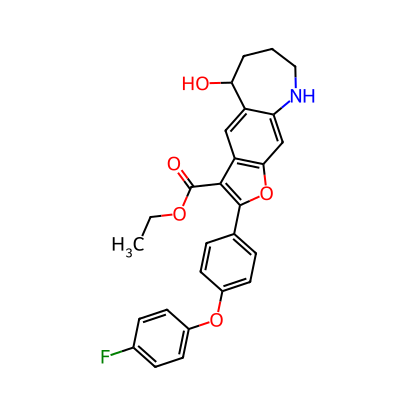 CCOC(=O)c1c(-c2ccc(Oc3ccc(F)cc3)cc2)oc2cc3c(cc12)C(O)CCCN3